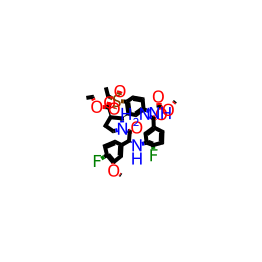 CCOC(=O)[C@@H]1CCN(C(=O)[C@H](Nc2cc(C(N)=O)ccc2F)c2ccc(F)c(OC)c2)[C@H]1c1cc(NC(=O)OC)ccc1S(=O)(=O)CC